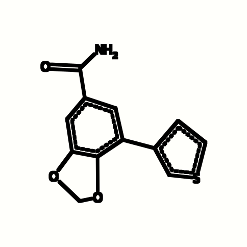 NC(=O)c1cc2c(c(-c3ccsc3)c1)OCO2